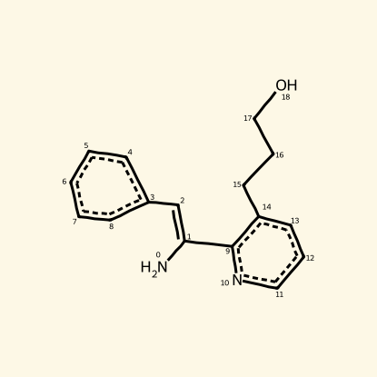 NC(=Cc1ccccc1)c1ncccc1CCCO